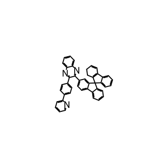 C1=CC2=C(CC1)C1(c3ccccc32)c2ccccc2-c2ccc(-c3nc4ccccc4nc3-c3ccc(-c4ccccn4)cc3)cc21